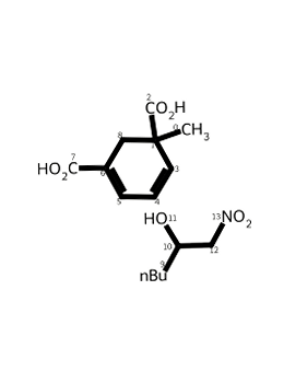 CC1(C(=O)O)C=CC=C(C(=O)O)C1.CCCCC(O)C[N+](=O)[O-]